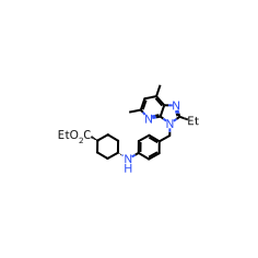 CCOC(=O)[C@H]1CC[C@H](Nc2ccc(Cn3c(CC)nc4c(C)cc(C)nc43)cc2)CC1